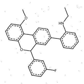 CCNc1ccccc1-c1ccc2c(c1)C(c1cccc(F)c1)Oc1cccc(OC)c1-2